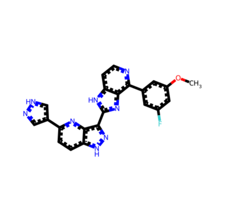 COc1cc(F)cc(-c2nccc3[nH]c(-c4n[nH]c5ccc(-c6cn[nH]c6)nc45)nc23)c1